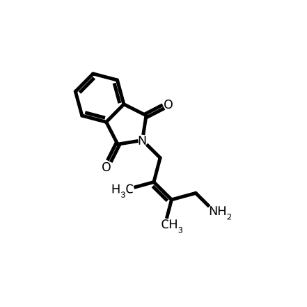 CC(CN)=C(C)CN1C(=O)c2ccccc2C1=O